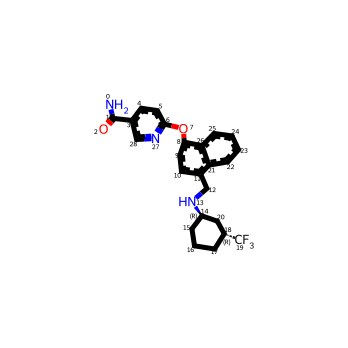 NC(=O)c1ccc(Oc2ccc(CN[C@@H]3CCC[C@@H](C(F)(F)F)C3)c3ccccc23)nc1